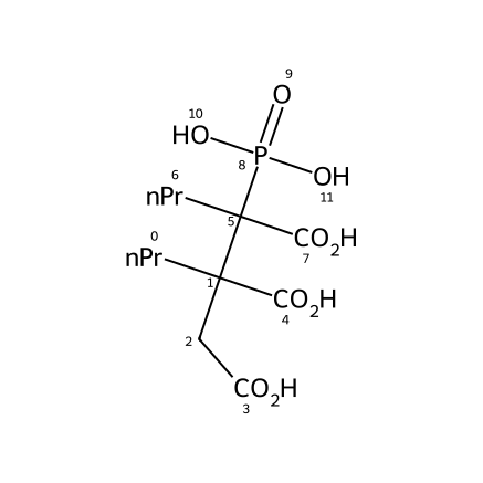 CCCC(CC(=O)O)(C(=O)O)C(CCC)(C(=O)O)P(=O)(O)O